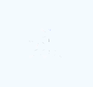 COC(=O)c1cc(C(N)=O)ccc1-c1c2ccc(=O)cc-2oc2cc(N=O)ccc12